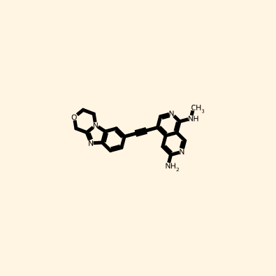 CNc1ncc(C#Cc2ccc3nc4n(c3c2)CCOC4)c2cc(N)ncc12